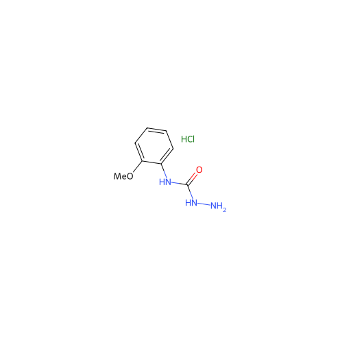 COc1ccccc1NC(=O)NN.Cl